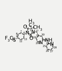 CC1(C)C(=O)N(c2ccc(SC(F)(F)F)cc2)C(=O)N1Cc1ccnc(Nc2ccccn2)c1